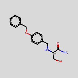 NC(=O)[C@@H](CO)NCc1ccc(OCc2ccccc2)cc1